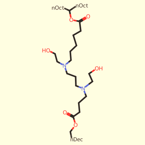 CCCCCCCCCCCOC(=O)CCCN(CCO)CCCN(CCO)CCCCCC(=O)OC(CCCCCCCC)CCCCCCCC